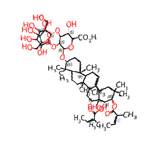 C/C=C(/C)C(=O)O[C@H]1[C@H](OC(=O)/C(C)=C\C)[C@@]2(CO)C(CC1(C)C)C1=CCC3[C@@]4(C)CC[C@H](O[C@@H]5OC(C(=O)O)[C@@H](O)C(O[C@@H]6O[C@@H](CO)C(O)[C@@H]6O)[C@@H]5O[C@@H]5OC(CO)[C@H](O)C(O)[C@@H]5O)C(C)(C)C4CC[C@@]3(C)[C@]1(C)C[C@H]2O